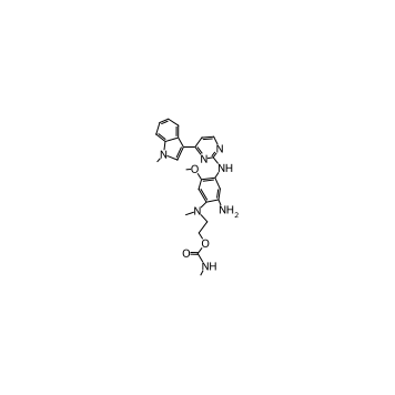 CNC(=O)OCCN(C)c1cc(OC)c(Nc2nccc(-c3cn(C)c4ccccc34)n2)cc1N